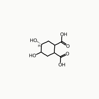 O=C(O)C1CC(O)[C@H](O)CC1C(=O)O